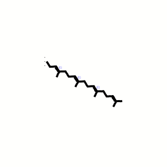 [C]C/C=C(\C)CC/C=C(\C)CC/C=C(\C)CCC=C(C)C